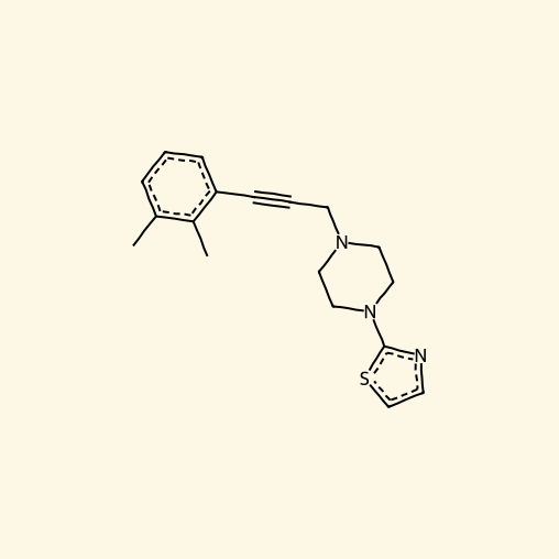 Cc1cccc(C#CCN2CCN(c3nccs3)CC2)c1C